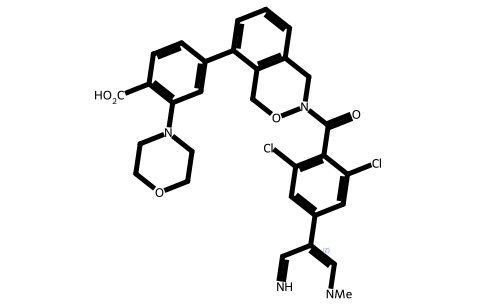 CN/C=C(\C=N)c1cc(Cl)c(C(=O)N2Cc3cccc(-c4ccc(C(=O)O)c(N5CCOCC5)c4)c3CO2)c(Cl)c1